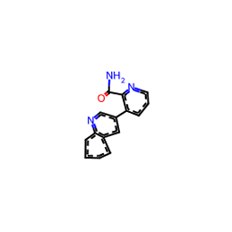 NC(=O)c1ncccc1-c1cnc2ccccc2c1